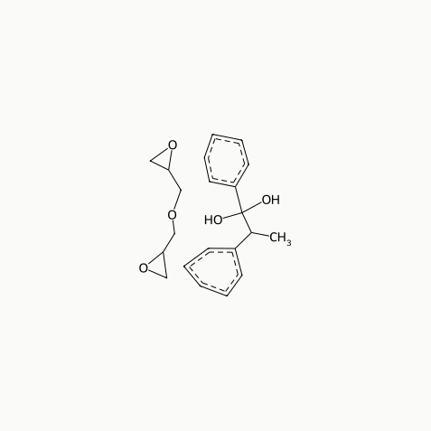 C(OCC1CO1)C1CO1.CC(c1ccccc1)C(O)(O)c1ccccc1